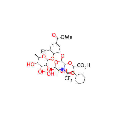 CCC1CC(C(=O)OC)C[C@H](O[C@H](OC(CO)[C@@H](C)O)C(NC(=O)C(F)(F)F)O[C@@H](CC2CCCCC2)C(=O)O)C1O[C@@H]1O[C@H](C)C(O)C(O)[C@@H]1O